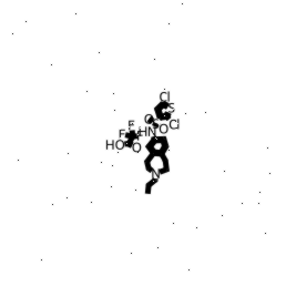 CCCN1CCc2ccc(NS(=O)(=O)c3cc(Cl)sc3Cl)cc2CC1.O=C(O)C(F)(F)F